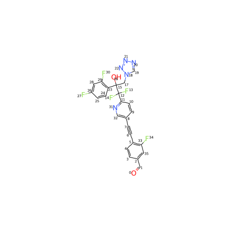 O=Cc1ccc(C#Cc2ccc(C(F)(F)C(O)(Cn3cnnn3)c3ccc(F)cc3F)nc2)c(F)c1